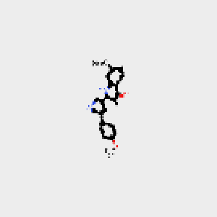 COc1ccc2c(=O)c(C)c(-c3cncc(-c4ccc(OC(F)(F)F)cc4)c3)[nH]c2c1